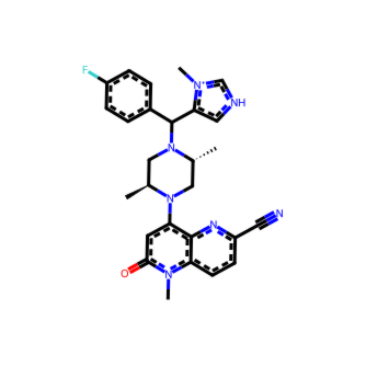 C[C@@H]1CN(c2cc(=O)n(C)c3ccc(C#N)nc23)[C@@H](C)CN1C(c1ccc(F)cc1)c1c[nH]c[n+]1C